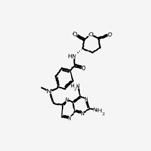 CN(Cc1cnc2nc(N)nc(N)c2n1)c1ccc(C(=O)N[C@H]2CCC(=O)OC2=O)cc1